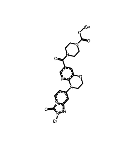 CCn1nc2cc(N3CCOc4cc(C(=O)N5CCN(C(=O)OC(C)(C)C)CC5)cnc43)ccn2c1=O